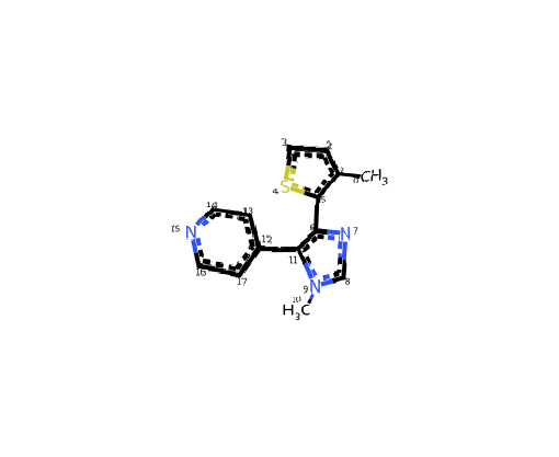 Cc1ccsc1-c1ncn(C)c1-c1ccncc1